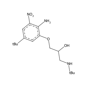 CC(C)(C)NCC(O)COc1cc(C(C)(C)C)cc([N+](=O)[O-])c1N